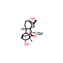 C=C1C[C@]23C[C@@]1(O)CC[C@H]2[C@@]12C=C[C@H](O)[C@@](C)(C(=O)O1)[C@H]2[C@@H]3C(=O)O.[Zn]